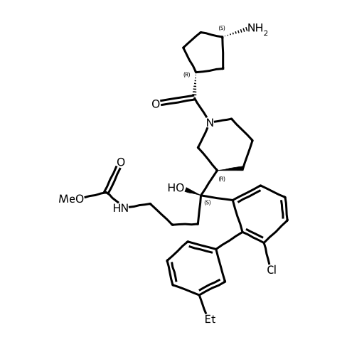 CCc1cccc(-c2c(Cl)cccc2[C@](O)(CCCNC(=O)OC)[C@@H]2CCCN(C(=O)[C@@H]3CC[C@H](N)C3)C2)c1